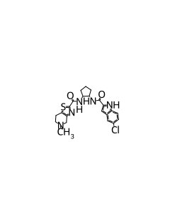 CN1CCc2sc(C(=O)N[C@H]3CCC[C@@H]3NC(=O)c3cc4cc(Cl)ccc4[nH]3)nc2C1